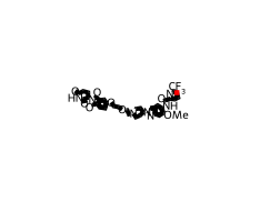 COc1cc2nn(C3CCN(CCOCCOc4ccc5c(c4)C(=O)N(C4CCC(=O)NC4=O)C5=O)CC3)cc2cc1NC(=O)c1cccc(C(F)(F)F)n1